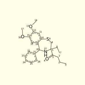 CCCC(=O)C1(CC)CSc2cc(OC)c(OC)cc2C(c2ccccc2)N1